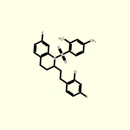 Cc1ccc(S(=O)(=O)N2c3cc(F)ccc3CCC2CCc2ccc(F)cc2Cl)c(C)c1